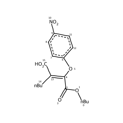 CCCCOC(=O)C(Oc1ccc([N+](=O)[O-])cc1)=C(CCCC)C(=O)O